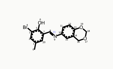 Cc1cc(Br)c(O)c(/C=N/c2ccc3c(c2)COCO3)c1